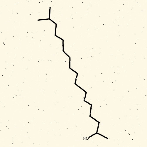 [CH2]C(O)CCCCCCCCCCCCCC(C)C